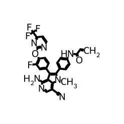 C=CC(=O)Nc1ccc(-c2c(-c3ccc(Oc4nccc(C(F)(F)F)n4)c(F)c3)c3c(N)ncc(C#N)c3n2C)cc1